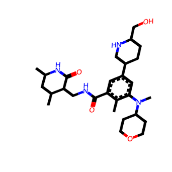 Cc1c(C(=O)NCC2C(=O)NC(C)CC2C)cc(C2CCC(CO)NC2)cc1N(C)C1CCOCC1